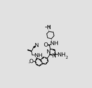 C=C(C#N)CNc1c(OC)ccc2ccc(-c3nc(N)cc(C(=O)N[C@H]4CC[C@@H](N(C)C)CC4)n3)cc12